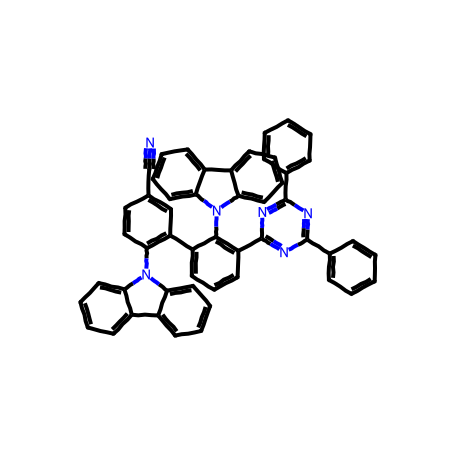 N#Cc1ccc(-n2c3ccccc3c3ccccc32)c(-c2cccc(-c3nc(-c4ccccc4)nc(-c4ccccc4)n3)c2-n2c3ccccc3c3ccccc32)c1